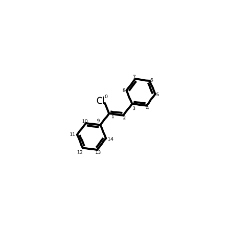 ClC(=Cc1ccccc1)c1ccccc1